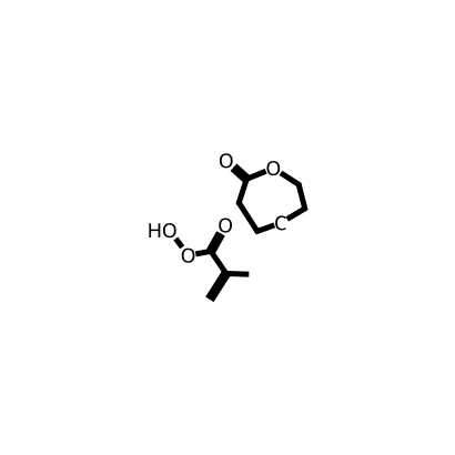 C=C(C)C(=O)OO.O=C1CCCCCO1